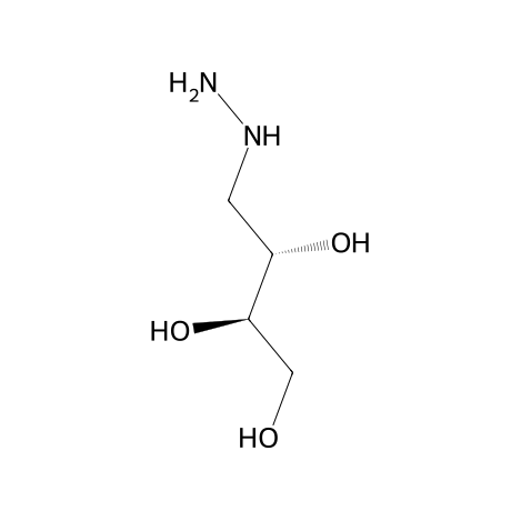 NNC[C@H](O)[C@H](O)CO